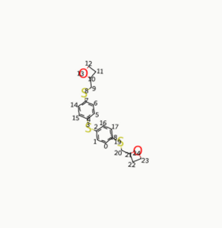 c1cc(Sc2ccc(SCC3CCO3)cc2)ccc1SCC1CCO1